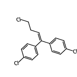 ClCCC=C(c1ccc(Cl)cc1)c1ccc(Cl)cc1